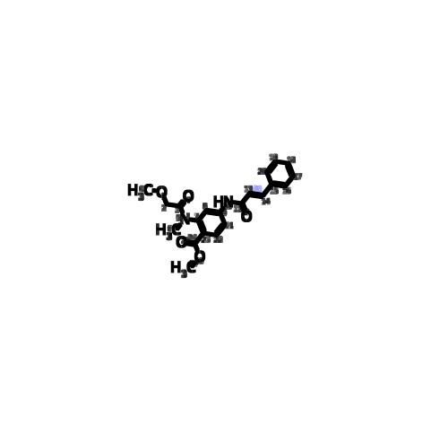 COCC(=O)N(C)c1cc(NC(=O)/C=C/c2ccccc2)ccc1C(=O)OC